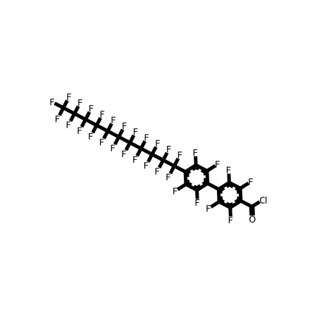 O=C(Cl)c1c(F)c(F)c(-c2c(F)c(F)c(C(F)(F)C(F)(F)C(F)(F)C(F)(F)C(F)(F)C(F)(F)C(F)(F)C(F)(F)C(F)(F)C(F)(F)C(F)(F)F)c(F)c2F)c(F)c1F